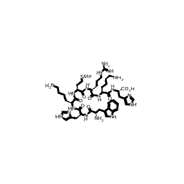 CSCC[C@H](NC(=O)[C@H](CCCCN)NC(=O)[C@H](Cc1c[nH]cn1)NC(=O)[C@@H](N)Cc1c[nH]c2ccccc12)C(=O)N[C@@H](CCCNC(=N)N)C(=O)N[C@@H](CCCCN)C(=O)N[C@@H](Cc1c[nH]cn1)C(=O)O